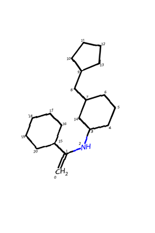 C=C(NC1CCCC(CC2CCCC2)C1)C1CCCCC1